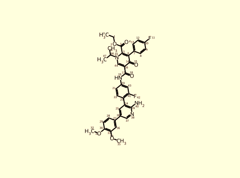 CCOC(=O)c1c(-c2ccc(F)cc2)c(=O)c(C(=O)Nc2ccc(-c3cc(-c4ccc(OC)c(OC)c4)cnc3N)c(F)c2)cn1C(C)C